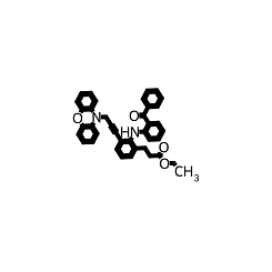 CCOC(=O)CCc1cccc(C#CCN2c3ccccc3Oc3ccccc32)c1Nc1ccccc1C(=O)c1ccccc1